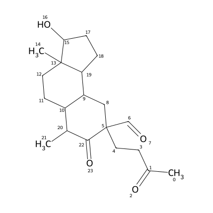 CC(=O)CCC1(C=O)CC2C(CCC3(C)C(O)CCC23)C(C)C1=O